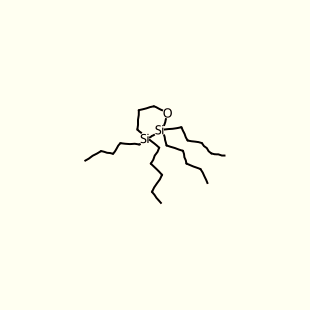 CCCCC[Si]1(CCCCC)CCCO[Si]1(CCCCC)CCCCC